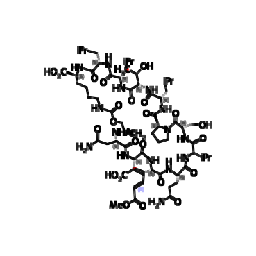 C=CCOC(=O)NCCCC[C@H](NC(=O)[C@H](CC(C)C)NC(=O)[C@H](CC(C)C)NC(=O)[C@@H](NC(=O)[C@H](CC(C)C)NC(=O)[C@@H]1CCCN1C(=O)[C@H](CO)NC(=O)C(NC(=O)[C@H](CCC(N)=O)NC(=O)[C@H](CCC(=O)O)NC(=O)[C@H](CC/C=C/C(=O)OC)NC(=O)[C@H](CC(N)=O)NC(C)=O)C(C)C)C(C)O)C(=O)O